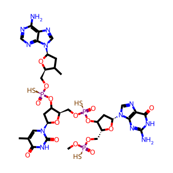 CO[P@@](=O)(S)OC[C@H]1O[C@@H](n2cnc3c(=O)[nH]c(N)nc32)CC1O[P@@](=O)(S)OC[C@H]1O[C@@H](n2cc(C)c(=O)[nH]c2=O)CC1O[P@@](=O)(S)OC[C@H]1O[C@@H](n2cnc3c(N)ncnc32)CC1C